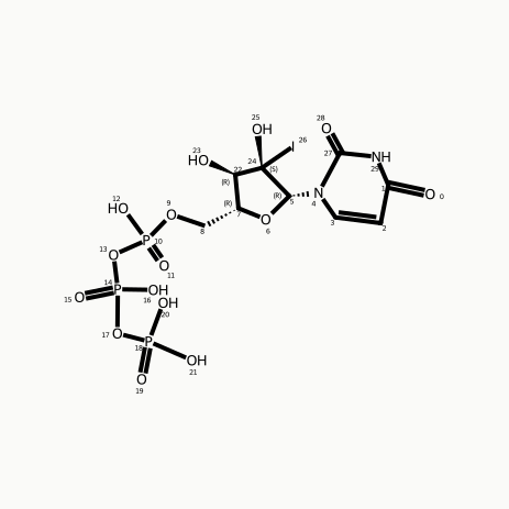 O=c1ccn([C@@H]2O[C@H](COP(=O)(O)OP(=O)(O)OP(=O)(O)O)[C@@H](O)[C@]2(O)I)c(=O)[nH]1